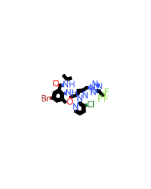 Cc1cc(Br)cc(C(=O)NC(C)C)c1NC(=O)c1cc(Cn2nnc(C(F)(F)F)n2)nn1-c1ncccc1Cl